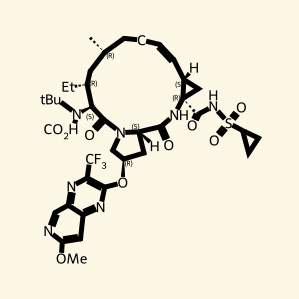 CC[C@@H]1C[C@H](C)CCC=C[C@@H]2C[C@@]2(C(=O)NS(=O)(=O)C2CC2)NC(=O)[C@@H]2C[C@@H](Oc3nc4cc(OC)ncc4nc3C(F)(F)F)CN2C(=O)[C@H]1N(C(=O)O)C(C)(C)C